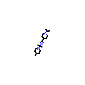 CC1CCN(C(C)(C)[N+]#CC2CCN(C(C)C)CC2)CC1